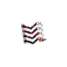 CCCCCCCC/C=C\CCCCCCCC(=O)[O-].CCCCCCCC/C=C\CCCCCCCC(=O)[O-].CCCCCCCC/C=C\CCCCCCCC(=O)[O-].CCCCCCCC/C=C\CCCCCCCC(=O)[O-].[Ca+2].[Fe+2]